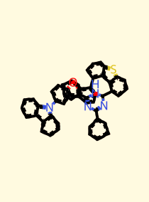 c1ccc(C2=NC(c3cccc4sc5cccc(-c6cccc7c6oc6ccc(-n8c9ccccc9c9ccccc98)cc67)c5c34)NC(c3ccccc3)=N2)cc1